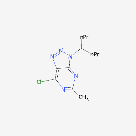 CCCC(CCC)n1nnc2c(Cl)nc(C)nc21